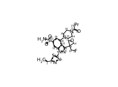 C=Cc1nnc(-n2nc(C3(CF)COC3)c3c(N4CCN(C(=O)C(C)C)CC4)cc(S(N)(=O)=O)cc32)s1